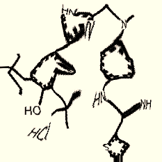 CN(Cc1nc(-c2cc(C(C)(C)C)c(O)c(C(C)(C)C)c2)c[nH]1)c1ccc(NC(=N)c2cccs2)cc1.Cl